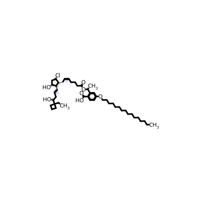 CCCCCCCCCCCCCCCCOc1ccc(C(=O)O)c(C(C)OC(=O)CCC/C=C\C[C@@H]2[C@@H](/C=C/C[C@H](O)C3(CC)CCC3)[C@H](O)C[C@H]2Cl)c1